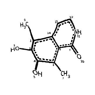 Cc1c(O)c(O)c(C)c2c(=O)[nH]ccc12